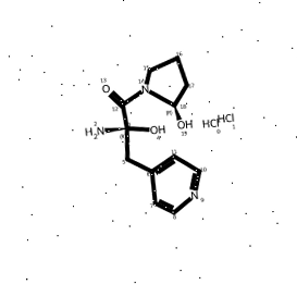 Cl.Cl.N[C@@](O)(Cc1ccncc1)C(=O)N1CCC[C@H]1O